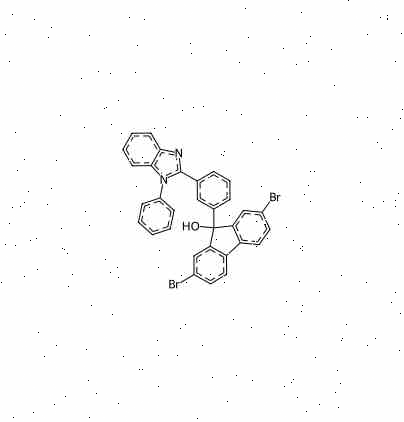 OC1(c2cccc(-c3nc4ccccc4n3-c3ccccc3)c2)c2cc(Br)ccc2-c2ccc(Br)cc21